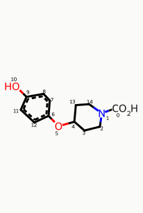 O=C(O)N1CCC(Oc2ccc(O)cc2)CC1